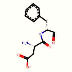 N[C@@H](CC(=O)O)C(=O)[N][C@@H](C=O)Cc1ccccc1